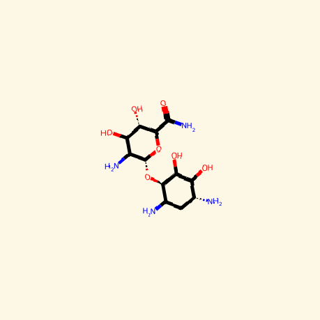 NC(=O)C1O[C@H](O[C@@H]2C(N)C[C@@H](N)C(O)C2O)C(N)C(O)[C@@H]1O